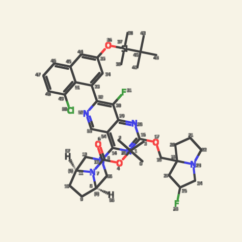 CC(C)(C)OC(=O)N1[C@@H]2CC[C@H]1CN(c1nc(OCC34CCCN3CC(F)C4)nc3c(F)c(-c4cc(O[Si](C)(C)C(C)(C)C)cc5cccc(Cl)c45)ncc13)C2